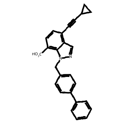 O=C(O)c1ccc(C#CC2CC2)c2cnn(Cc3ccc(-c4ccccc4)cc3)c12